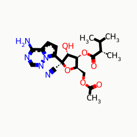 CC(=O)OC[C@H]1O[C@@](C#N)(c2ccc3c(N)ncnn23)[C@H](O)[C@@H]1OC(=O)[C@@H](C)C(C)C